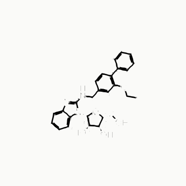 CCOc1cc(CNc2nc3ccccc3n2[C@@H]2O[C@H](CO)[C@@H](O)[C@H]2O)ccc1-c1ccccc1